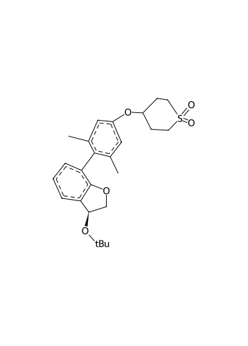 Cc1cc(OC2CCS(=O)(=O)CC2)cc(C)c1-c1cccc2c1OC[C@H]2OC(C)(C)C